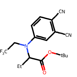 CCC(C(=O)OC(C)(C)C)N(CC(F)(F)F)c1ccc(C#N)c(C#N)c1